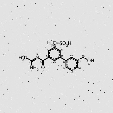 CS(=O)(=O)O.NC(N)=NC(=O)c1cccc(-c2cccc(CO)c2)c1